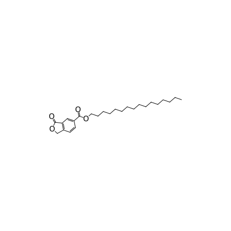 CCCCCCCCCCCCCCCCOC(=O)c1ccc2c(c1)C(=O)OC2